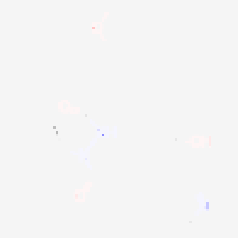 B/N=C\c1ccc(C(=O)N(NC(=O)c2cccc(OC)c2C)[C@H](CC)C(C)(C)C)cc1BO